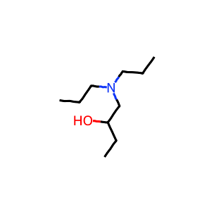 CCCN(CCC)CC(O)CC